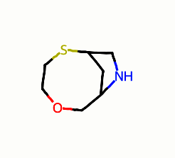 C1CSC2CNC(CO1)C2